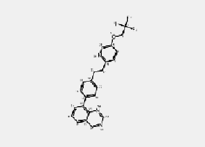 FC(F)(F)COc1ccc(CCc2ccc(-c3cccc4cncnc34)cc2)nc1